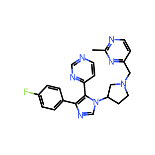 Cc1nccc(CN2CCC(n3cnc(-c4ccc(F)cc4)c3-c3ccncn3)C2)n1